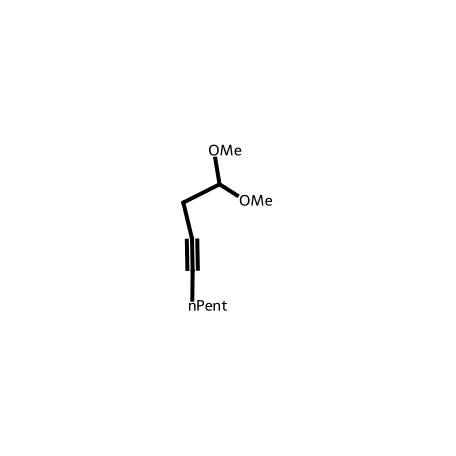 CCCCCC#CCC(OC)OC